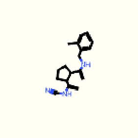 C=C(NC#N)C1CCCC1C(=C)NCc1ccccc1C